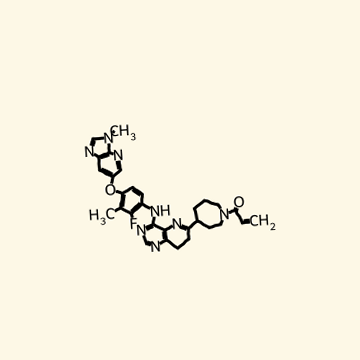 C=CC(=O)N1CCCC(C2=Nc3c(ncnc3Nc3ccc(Oc4cnc5c(c4)ncn5C)c(C)c3F)CC2)CC1